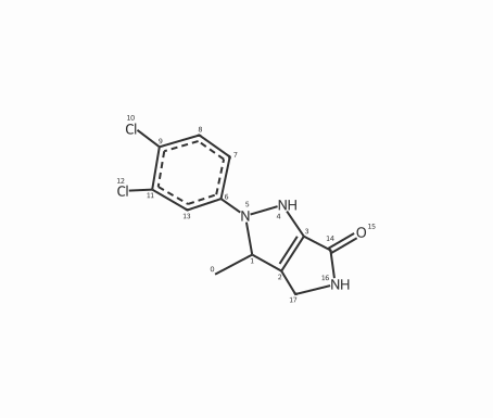 CC1C2=C(NN1c1ccc(Cl)c(Cl)c1)C(=O)NC2